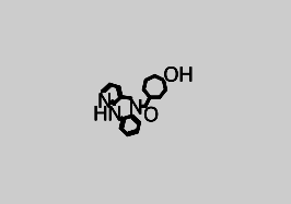 O=C(C1CCCC(O)CC1)N1Cc2cccnc2Nc2ccccc21